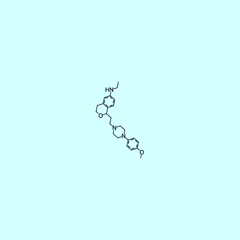 CCNc1ccc2c(c1)CCOC2CCN1CCN(c2ccc(OC)cc2)CC1